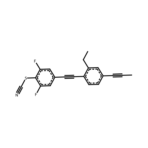 CC#Cc1ccc(C#Cc2cc(F)c(SC#N)c(F)c2)c(CC)c1